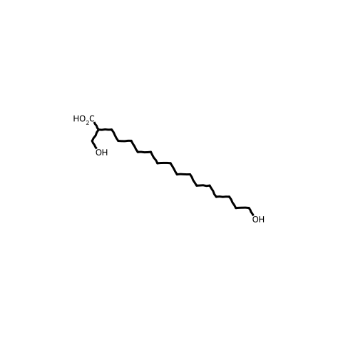 O=C(O)C(CO)CCCCCCCCCCCCCCCO